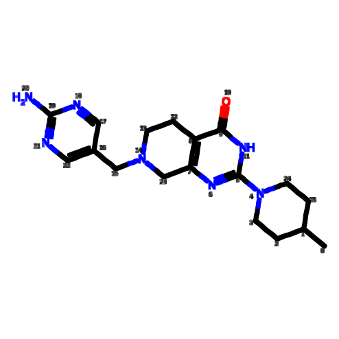 CC1CCN(c2nc3c(c(=O)[nH]2)CCN(Cc2cnc(N)nc2)C3)CC1